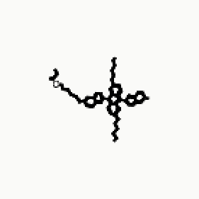 CCCCCCc1ccc2c(-c3ccc4cc(CCCCCCOC(C)CC)ccc4c3)c3cc(CCCCCC)ccc3c(-c3ccc4cc(C)ccc4c3)c2c1